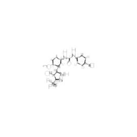 COc1ccc(NC(=O)Nc2ccc(Cl)cc2)cc1-c1[nH]nc(C(F)(F)F)c1Cl